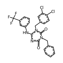 O=c1nc(Nc2cccc(C(F)(F)F)c2)n(Cc2ccc(Cl)c(Cl)c2)c(=O)n1Cc1ccccc1